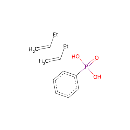 C=CCC.C=CCC.O=P(O)(O)c1ccccc1